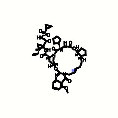 C=C[C@@H]1C[C@]1(NC(=O)[C@@H]1C[C@@H]2CN1C(=O)[C@H](C1CCCC1)NC(=O)O[C@@H]1CCC[C@H]1CC/C=C/Cn1c(nc3cccc(OC)c3c1=O)O2)C(=O)NS(=O)(=O)C1CC1